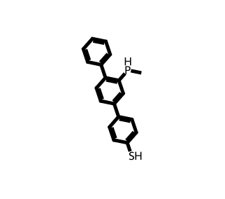 CPc1cc(-c2ccc(S)cc2)ccc1-c1ccccc1